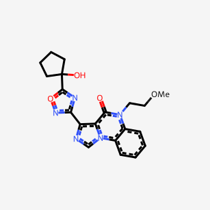 COCCn1c(=O)c2c(-c3noc(C4(O)CCCC4)n3)ncn2c2ccccc21